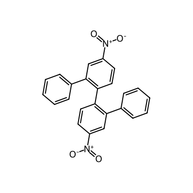 O=[N+]([O-])c1ccc(-c2ccc([N+](=O)[O-])cc2-c2ccccc2)c(-c2ccccc2)c1